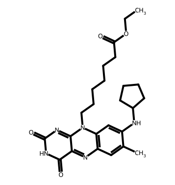 CCOC(=O)CCCCCCn1c2nc(=O)[nH]c(=O)c-2nc2cc(C)c(NC3CCCC3)cc21